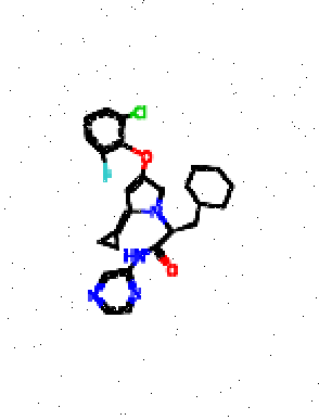 O=C(Nc1cnccn1)[C@H](CC1CCCCC1)N1CC(Oc2c(F)cccc2Cl)=CC1=C1CC1